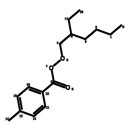 CCCCC([CH]OOC(=O)c1ccc(C)cc1)CC